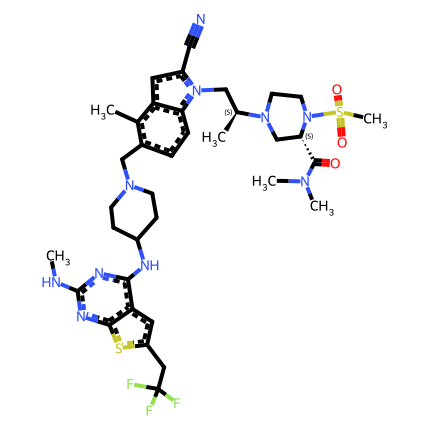 CNc1nc(NC2CCN(Cc3ccc4c(cc(C#N)n4C[C@H](C)N4CCN(S(C)(=O)=O)[C@H](C(=O)N(C)C)C4)c3C)CC2)c2cc(CC(F)(F)F)sc2n1